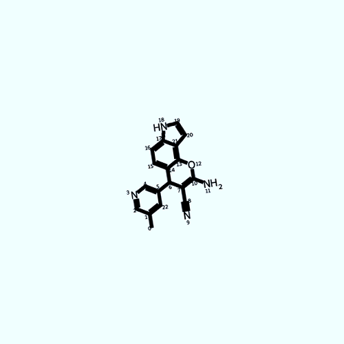 Cc1cncc(C2C(C#N)=C(N)Oc3c2ccc2[nH]ccc32)c1